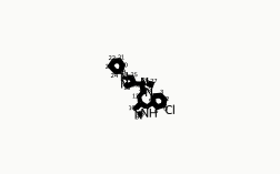 Clc1ccc2c(c1)-c1[nH]ncc1Cc1c(-c3cnn(-c4ccccc4)c3)ncn1-2